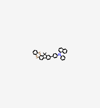 CC1(C)c2cc(-c3ccc(N(c4ccccc4)c4cccc5ccccc45)cc3)ccc2-c2ccc3c(c21)Sc1ccccc1S3